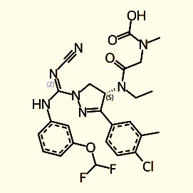 CCN(C(=O)CN(C)C(=O)O)[C@H]1CN(/C(=N\C#N)Nc2cccc(OC(F)F)c2)N=C1c1ccc(Cl)c(C)c1